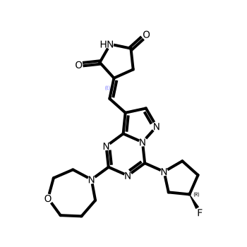 O=C1C/C(=C\c2cnn3c(N4CC[C@@H](F)C4)nc(N4CCCOCC4)nc23)C(=O)N1